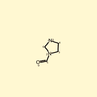 O=[C]N1CC[N]C1